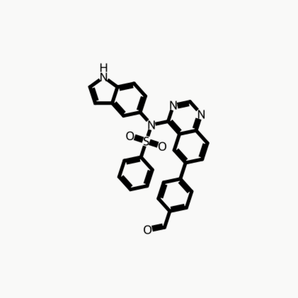 O=Cc1ccc(-c2ccc3ncnc(N(c4ccc5[nH]ccc5c4)S(=O)(=O)c4ccccc4)c3c2)cc1